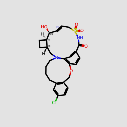 O=C1NS(=O)(=O)C/C=C/[C@H](O)[C@@H]2CC[C@H]2CN2CCCCc3cc(Cl)ccc3COc3ccc1cc32